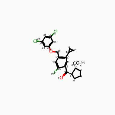 O=C(O)[C@@H]1CCC[C@H]1C(=O)c1cc(C2CC2)c(COc2cc(Cl)cc(Cl)c2)cc1F